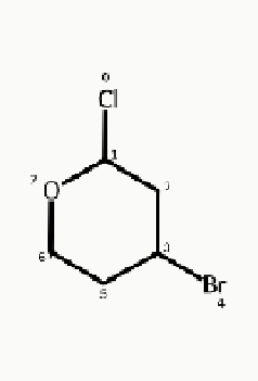 ClC1CC(Br)C[CH]O1